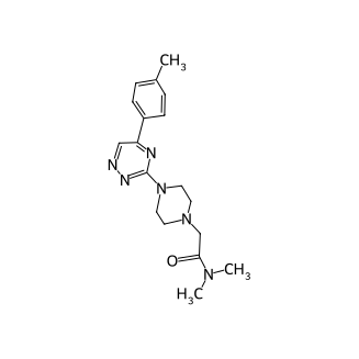 Cc1ccc(-c2cnnc(N3CCN(CC(=O)N(C)C)CC3)n2)cc1